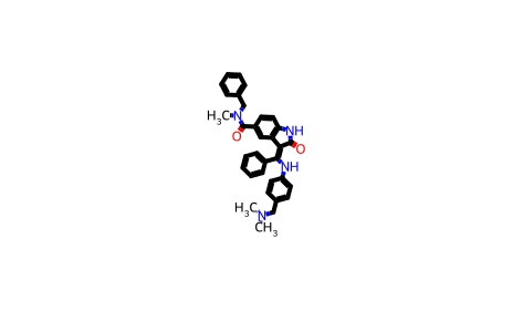 CN(C)Cc1ccc(N/C(=C2\C(=O)Nc3ccc(C(=O)N(C)Cc4ccccc4)cc32)c2ccccc2)cc1